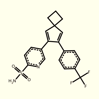 NS(=O)(=O)c1ccc(C2=CC3(C=C2c2ccc(C(F)(F)F)cc2)CCC3)cn1